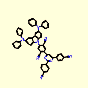 N#Cc1ccc(-c2cc(-c3cc(C#N)c(-n4c5ccc(N(c6ccccc6)c6ccccc6)cc5c5cc(N(c6ccccc6)c6ccccc6)ccc54)cc3C#N)nc(-c3ccc(C#N)cc3)n2)cc1